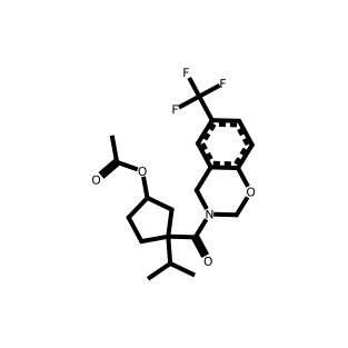 CC(=O)OC1CCC(C(=O)N2COc3ccc(C(F)(F)F)cc3C2)(C(C)C)C1